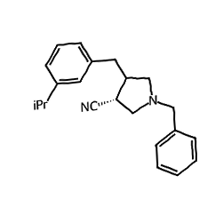 CC(C)c1cccc(CC2CN(Cc3ccccc3)C[C@@H]2C#N)c1